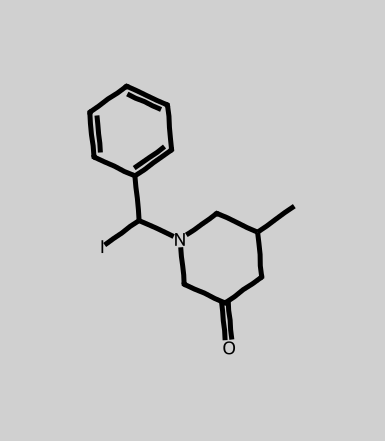 CC1CC(=O)CN(C(I)c2ccccc2)C1